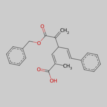 C=C(C(=O)OCc1ccccc1)C(C=Cc1ccccc1)C=C(C)C(=O)O